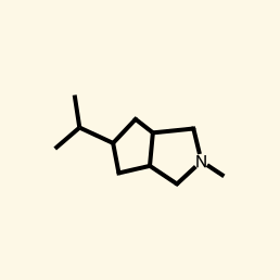 CC(C)C1CC2CN(C)CC2C1